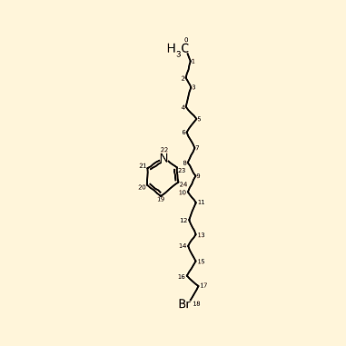 CCCCCCCCCCCCCCCCCCBr.c1ccncc1